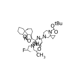 C[C@H](Oc1cc(N2CCN(C(=O)OC(C)(C)C)C3(CC3)C2)nc(-c2onc3c2CCC[C@@]32CCCCC2=O)n1)[C@@H]1C[C@@H](F)CN1C